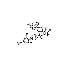 CS(=O)(=O)c1ccc(OC(F)(F)F)c(C(=O)N2CCN(c3c(F)cc(C#N)cc3F)CC2)c1